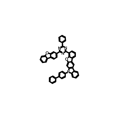 c1ccc(-c2ccc(-n3c4ccccc4c4cc5c(cc43)oc3c(-c4nc(-c6ccccc6)nc(-c6ccc7c(c6)oc6ccccc67)n4)cccc35)cc2)cc1